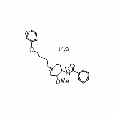 COC1CN(CCCCOc2cccnc2)CCC1NC(=O)c1ccccc1.O